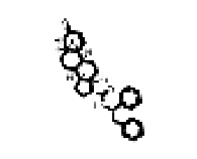 C[C@]12C=CC(=O)N[C@@H]1CC[C@@H]1[C@@H]2CC[C@]2(C)[C@@H](C(=O)N[C@H](Cc3ccccc3)c3ccccc3)CC[C@@H]12